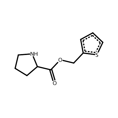 O=C(OCc1cccs1)[C]1CCCN1